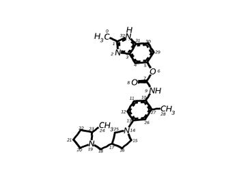 Cc1nc2cc(OC(=O)Nc3ccc(N4CCC(CN5CCCC5C)C4)cc3C)ccc2[nH]1